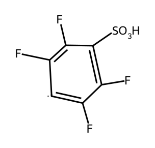 O=S(=O)(O)c1c(F)c(F)[c]c(F)c1F